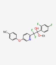 CCOC(O)(c1ccc(F)cc1F)C(F)(F)c1ccc(Oc2ccc(C#N)cc2)cn1